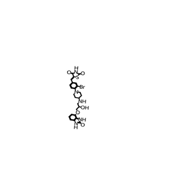 O=C1NC(=O)C(=Cc2ccc(N3CCC(NCC(O)COc4cccc5[nH]c(=O)[nH]c45)CC3)c(Br)c2)S1